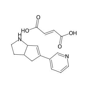 C1=C(c2cccnc2)CC2CCNC12.O=C(O)C=CC(=O)O